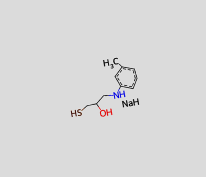 Cc1cccc(NCC(O)CS)c1.[NaH]